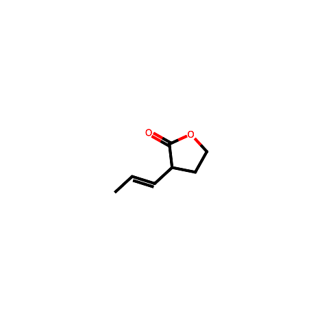 CC=CC1CCOC1=O